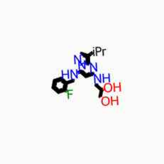 CC(C)c1cnn2c(NCc3ccccc3F)cc(NCC(O)CO)nc12